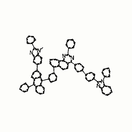 Cn1c(-c2ccccc2)nc2cc(-c3ccc4c(-c5ccccc5)c5ccccc5c(-c5cccc(-c6cccc7c6ccc6c(-c8ccc(-c9ccc(-c%10nc%11ccccc%11n%10-c%10ccccc%10)cc9)cc8)nc(-c8ccccc8)nc67)c5)c4c3)ccc21